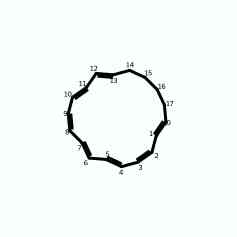 [C]1=C/C=C\C=C\C=C\C=C/C=C/C=C/CCCC/1